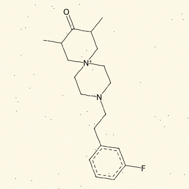 CC1C[N+]2(CCN(CCc3cccc(F)c3)CC2)CC(C)C1=O